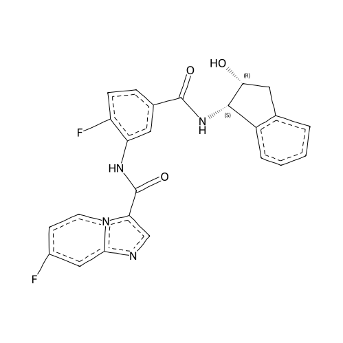 O=C(N[C@H]1c2ccccc2C[C@H]1O)c1ccc(F)c(NC(=O)c2cnc3cc(F)ccn23)c1